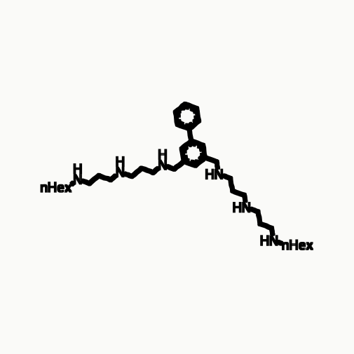 CCCCCCNCCCNCCCNCc1cc(CNCCCNCCCNCCCCCC)cc(-c2ccccc2)c1